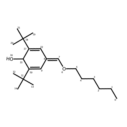 CCCCCCOC=C1C=C(C(C)(C)C)C(O)C(C(C)(C)C)=C1